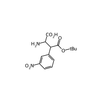 CC(C)(C)OC(=O)C(c1cccc([N+](=O)[O-])c1)C(N)C(=O)O